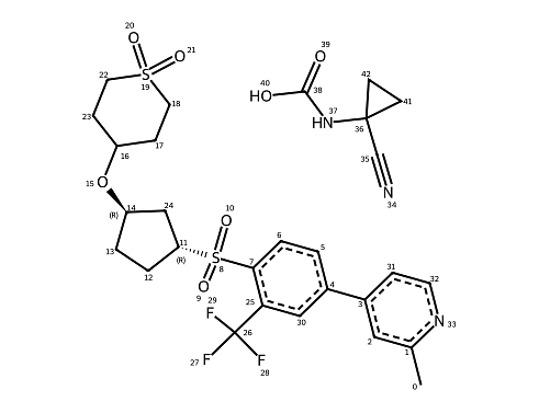 Cc1cc(-c2ccc(S(=O)(=O)[C@@H]3CC[C@@H](OC4CCS(=O)(=O)CC4)C3)c(C(F)(F)F)c2)ccn1.N#CC1(NC(=O)O)CC1